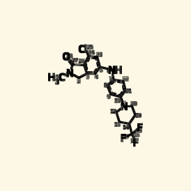 CN1Cc2cc(Nc3ccc(N4CCC(C(F)(F)F)CC4)cc3)cc(Cl)c2C1=O